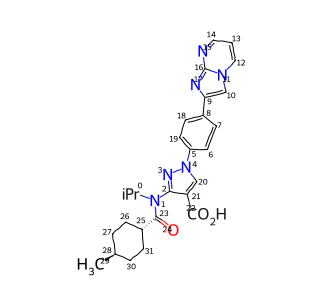 CC(C)N(c1nn(-c2ccc(-c3cn4cccnc4n3)cc2)cc1C(=O)O)C(=O)[C@H]1CC[C@H](C)CC1